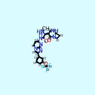 CN/C(C(=O)Nc1ccn2cc(-c3cccc(OC(F)(F)F)c3)nc2n1)=C(\C=N)C(=O)N1CCC1